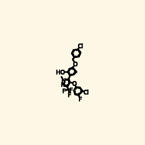 Cn1nc(C(F)(F)F)c(Oc2ccc(F)c(Cl)c2)c1-c1ccc(OCc2ccc(Cl)cc2)cc1O